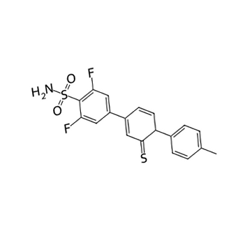 Cc1ccc(C2C=CC(c3cc(F)c(S(N)(=O)=O)c(F)c3)=CC2=S)cc1